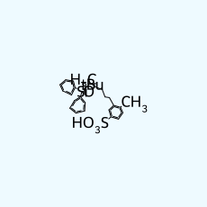 Cc1ccc(S(=O)(=O)O)cc1CCCC(C)O[Si](c1ccccc1)(c1ccccc1)C(C)(C)C